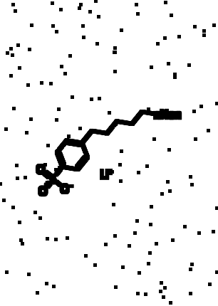 CCCCCCCCCCCCCCc1ccc(S(=O)(=O)[O-])cc1.[Li+]